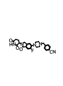 N#Cc1ccc(CN2CCN(c3cc4c(cc3F)C(=O)N(C3CCC(=O)NC3=O)C4)CC2)cc1